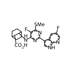 CSc1nc(-c2c[nH]c3ncc(F)cc23)nc(NC2C3CCC(CC3)C2C(=O)O)c1F